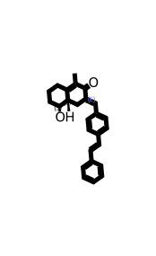 CC1=C2CCC[C@H](O)[C@@]2(C)C/C(=C\c2ccc(C=Cc3ccccc3)cc2)C1=O